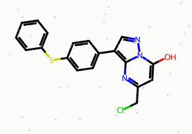 Oc1cc(CCl)nc2c(-c3ccc(Sc4ccccc4)cc3)cnn12